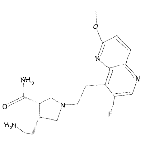 COc1ccc2ncc(F)c(CCN3C[C@H](CN)[C@H](C(N)=O)C3)c2n1